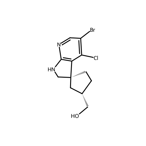 OC[C@H]1CC[C@@]2(CNc3ncc(Br)c(Cl)c32)C1